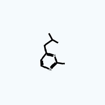 Cc1nccc(CC(C)C)n1